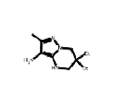 CCC1(CC)CNc2c(N)c(C)nn2C1